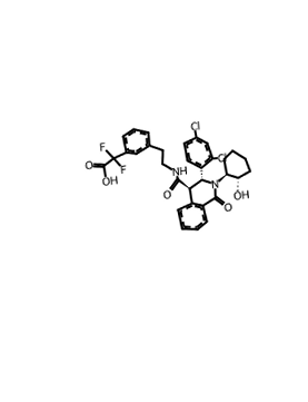 O=C(NCCc1cccc(C(F)(F)C(=O)O)c1)[C@@H]1c2ccccc2C(=O)N([C@H]2CCCC[C@@H]2O)[C@H]1c1ccc(Cl)cc1Cl